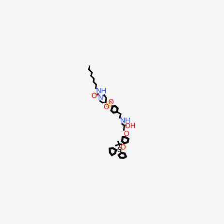 CCCCCCCCNC(=O)N1CCC(S(=O)(=O)c2ccc(CCNC[C@H](O)COc3ccc(O[Si](c4ccccc4)(c4ccccc4)C(C)(C)C)cc3)cc2)CC1